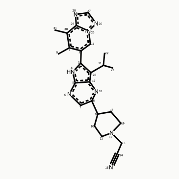 Cc1c(-c2[nH]c3ncc(C4CCN(CC#N)CC4)nc3c2C(C)C)cn2ncnc2c1C